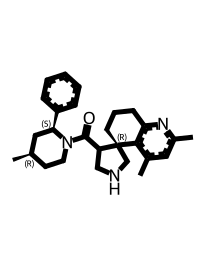 Cc1cc(C)c2c(n1)CCC[C@]21CNCC1C(=O)N1CC[C@@H](C)C[C@H]1c1ccccc1